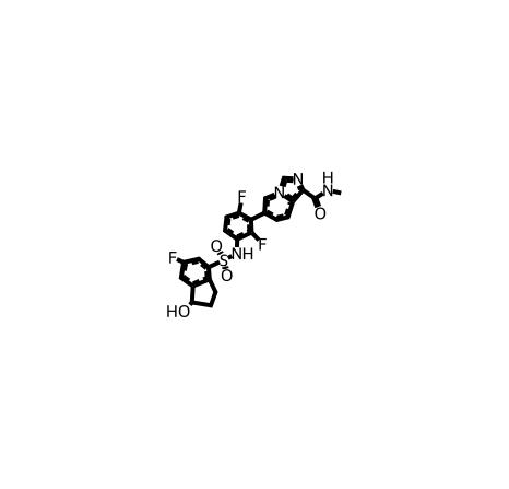 CNC(=O)c1ncn2cc(-c3c(F)ccc(NS(=O)(=O)c4cc(F)cc5c4CCC5O)c3F)ccc12